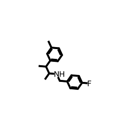 Cc1cccc(C(C)C(C)NCc2ccc(F)cc2)c1